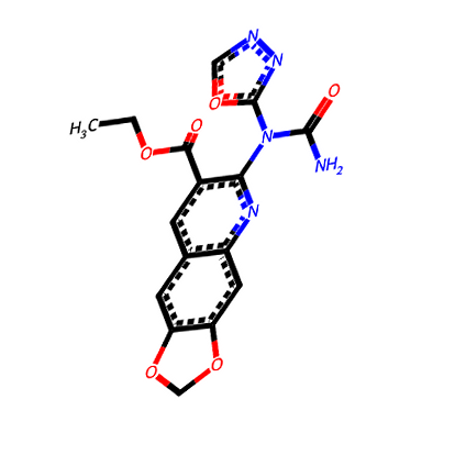 CCOC(=O)c1cc2cc3c(cc2nc1N(C(N)=O)c1nnco1)OCO3